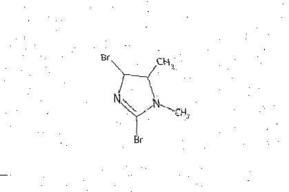 CC1C(Br)N=C(Br)N1C